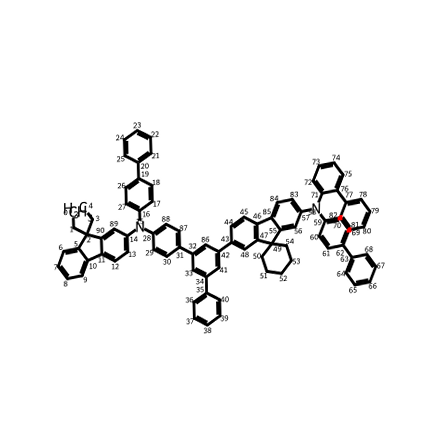 CCC1(CC)c2ccccc2-c2ccc(N(c3ccc(-c4ccccc4)cc3)c3ccc(-c4cc(-c5ccccc5)cc(-c5ccc6c(c5)C5(CCCCC5)c5cc(N(c7ccc(-c8ccccc8)cc7)c7ccccc7-c7ccccc7)ccc5-6)c4)cc3)cc21